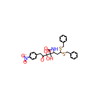 CC1(C(O)(O)C(=O)Cc2ccc([N+](=O)[O-])cc2)C(=O)NC1CC(SCc1ccccc1)SCc1ccccc1